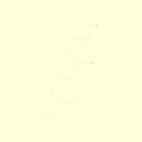 CCCCCC1CCC(c2ncc(O)cn2)CC1